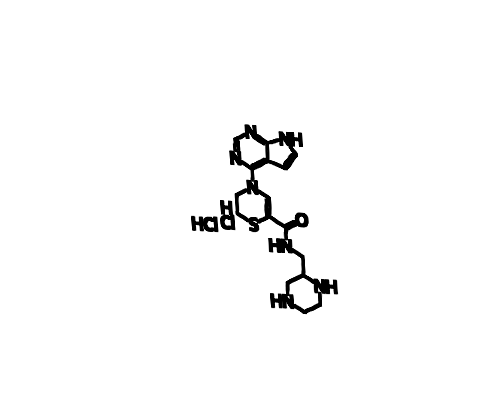 Cl.Cl.O=C(NCC1CNCCN1)C1=CN(c2ncnc3[nH]ccc23)CCS1